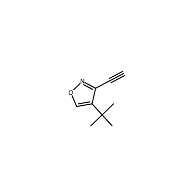 C#Cc1nocc1C(C)(C)C